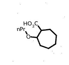 CCCOC1CCCCCC1C(=O)O